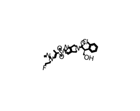 C=NN(/C=C(\C)S(=O)(=O)n1cc2c(n1)CN(C(=O)[C@H](CO)c1ccccc1Cl)C2)CCF